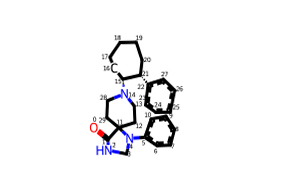 O=C1NCN(c2ccccc2)C12CCN([C@@H]1CCCCC[C@@H]1c1ccccc1)CC2